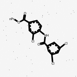 CCCOC(=O)c1ccc(NC(=O)c2cc(Cl)cc(Cl)c2)c(Cl)c1